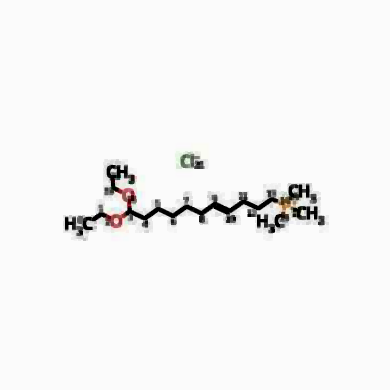 CCOC(CCCCC/C=C/CCC[P+](C)(C)C)OCC.[Cl-]